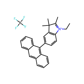 CC[N+]1=C(C)C(C)(C)c2cc(-c3c4ccccc4cc4ccccc34)ccc21.F[B-](F)(F)F